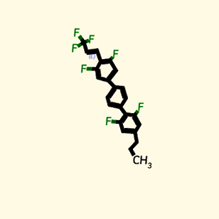 CCCc1cc(F)c(-c2ccc(-c3cc(F)c(/C=C/C(F)(F)F)c(F)c3)cc2)c(F)c1